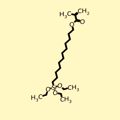 C=C(C)C(=O)OCCCCCCCCCCCC[Si](OCC)(OCC)OCC